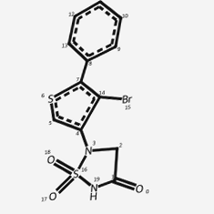 O=C1CN(c2csc(-c3ccccc3)c2Br)S(=O)(=O)N1